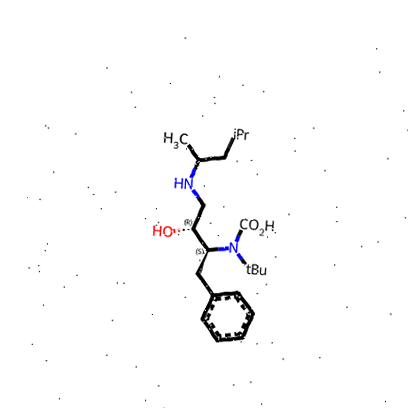 CC(C)CC(C)NC[C@@H](O)[C@H](Cc1ccccc1)N(C(=O)O)C(C)(C)C